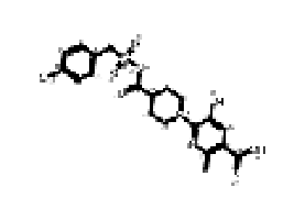 Cc1nc(N2CCC(C(=O)NS(=O)(=O)Cc3ccc(Cl)cc3)CC2)c(C#N)cc1C(O)=S